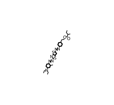 CCC(C)C(=O)OCCc1ccc(N=Nc2cc3sc(N=Nc4ccc(N(CC)CC)cc4C)nc3s2)cc1